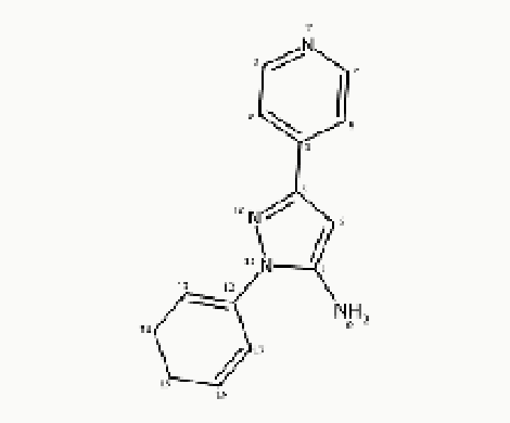 Nc1cc(-c2ccncc2)nn1C1=CCCC=C1